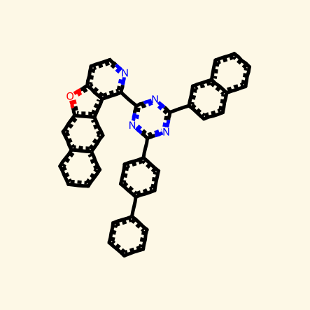 c1ccc(-c2ccc(-c3nc(-c4ccc5ccccc5c4)nc(-c4nccc5oc6cc7ccccc7cc6c45)n3)cc2)cc1